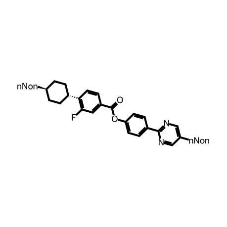 CCCCCCCCCc1cnc(-c2ccc(OC(=O)c3ccc([C@H]4CC[C@H](CCCCCCCCC)CC4)c(F)c3)cc2)nc1